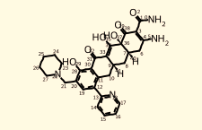 NC(=O)C1=C(N)C[C@@H]2C[C@@H]3Cc4c(-c5ccccn5)cc(CN5CCCCC5)c(O)c4C(=O)C3=C(O)[C@]2(O)C1=O